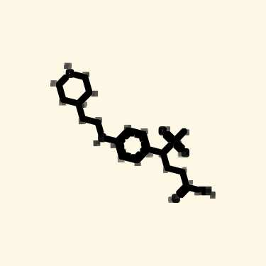 CS(=O)(=O)C(CCC(N)=O)c1ccc(OCCC2CCOCC2)cc1